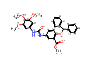 COC(=O)c1cc(NC(=O)Nc2cc(OC)c(OC)c(OC)c2)ccc1OC(c1ccccc1)c1ccccc1